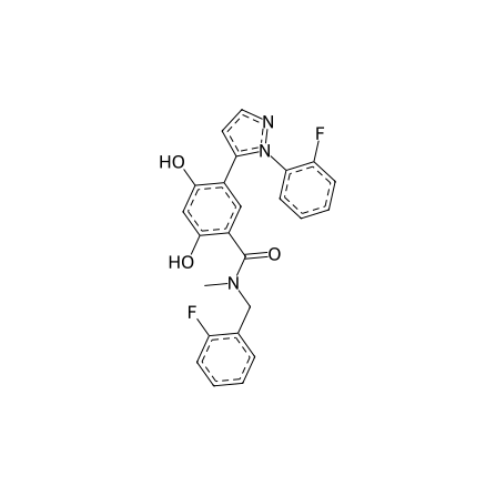 CN(Cc1ccccc1F)C(=O)c1cc(-c2ccnn2-c2ccccc2F)c(O)cc1O